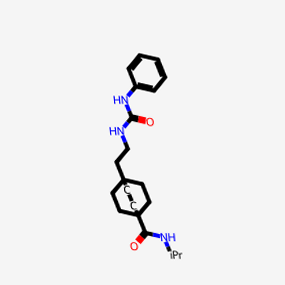 CC(C)NC(=O)C12CCC(CCNC(=O)Nc3ccccc3)(CC1)CC2